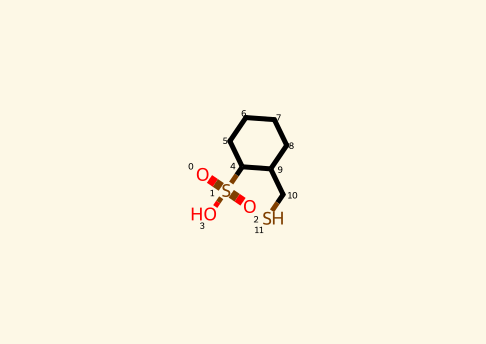 O=S(=O)(O)C1CCCCC1CS